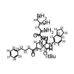 CC(C)(C)OC(=O)[C@@]1(C(=O)Nc2ccc3c(c2)CCC3)C[C@@H](C(=O)CCCc2ccccc2)CN1NC(=O)[C@@H](N)CC(O)CN